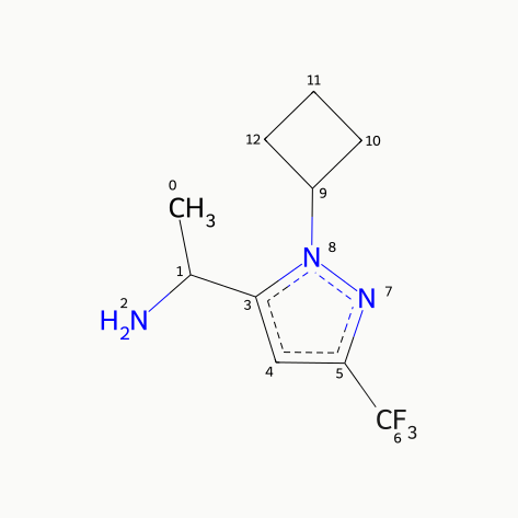 CC(N)c1cc(C(F)(F)F)nn1C1CCC1